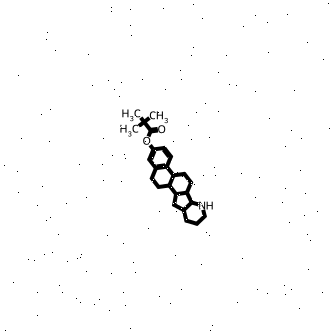 CC(C)(C)C(=O)Oc1ccc2c(c1)CCC1C2CCC2C1CC1CCCNC12